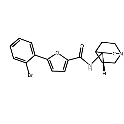 O=C(N[C@H]1CN2CCC1CC2)c1ccc(-c2ccccc2Br)o1